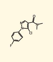 CN(C)C(=O)c1cnn(-c2ccc(F)cc2)c1Cl